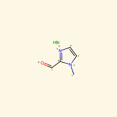 Br.Cn1ccnc1C=O